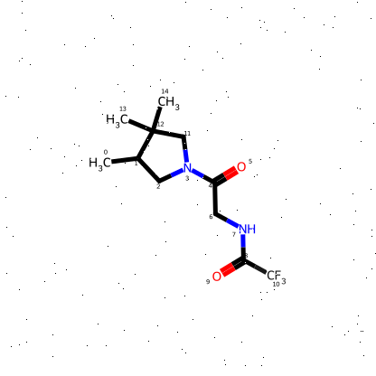 CC1CN(C(=O)CNC(=O)C(F)(F)F)CC1(C)C